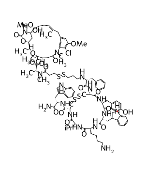 COc1cc2cc(c1Cl)N(C)C(=O)C[C@H](OC(=O)[C@H](C)N(C)C(=O)CCSSCCCN[C@H](Cc1ccccc1)C(=O)N[C@H]1CSSC[C@@H](C(=O)N[C@@H](Cc3c[nH]c4ccccc34)C(N)=O)NC(=O)[C@H](C(C)C)NC(=O)[C@H](CCCCN)NC(=O)[C@@H](Cc3c[nH]c4ccccc34)NC(=O)[C@H](Cc3ccc(O)cc3)NC1=O)C(C)(C)OC(C)[C@@H]1C[C@@](O)(NC(=O)O1)[C@H](OC)CC/C=C(\C)C2